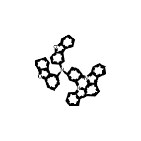 c1ccc2c(c1)oc1ccc(N(c3ccc4c(c3)n3c5ccccc5c5ccc6c7ccccc7n4c6c53)c3cccc4oc5ccccc5c34)cc12